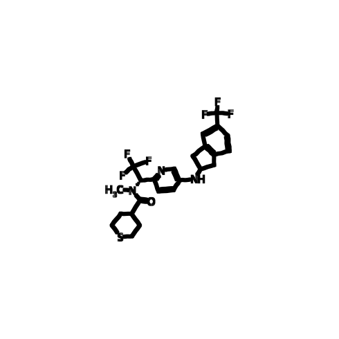 CN(C(=O)C1CCSCC1)[C@@H](c1ccc(NC2Cc3ccc(C(F)(F)F)cc3C2)cn1)C(F)(F)F